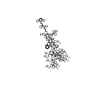 CC[C@H](C)[C@@H]([C@@H](CC(=O)N1CCC[C@H]1[C@H](OC)[C@@H](C)C(=O)N[C@@H](Cc1ccccc1)C(=O)N[C@@H](CCC(=O)O)C(=O)N[C@@H](CCCCNC(=O)CCN1C(=O)C=CC1=O)C(=O)O)OC)N(C)C(=O)[C@@H](NC(=O)[C@H](C(C)C)N(C)CCCN(C)C(=O)OC(C)(C)C)C(C)C